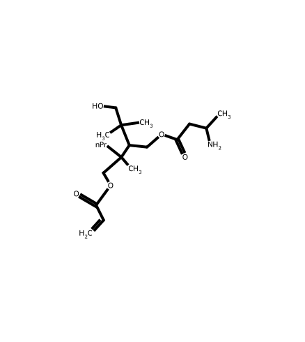 C=CC(=O)OCC(C)(CCC)C(COC(=O)CC(C)N)C(C)(C)CO